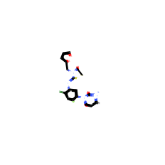 Cn1c(C(F)(F)F)cc(=O)n(-c2cc(N=C3SCC(=O)N3Cc3ccco3)c(Cl)cc2F)c1=O